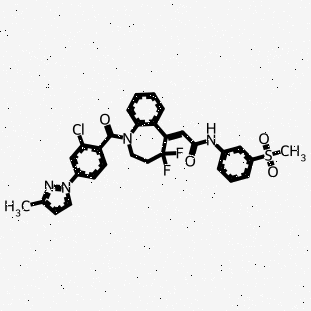 Cc1ccn(-c2ccc(C(=O)N3CCC(F)(F)C(=CC(=O)Nc4cccc(S(C)(=O)=O)c4)c4ccccc43)c(Cl)c2)n1